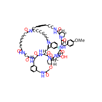 COc1ccc(C[C@@H]2NC(=O)[C@H]([C@@H](C)O)NC(=O)[C@@H]3[C@@H]4CCN3C(=O)[C@@H]3Cc5cn(c6ccc(F)cc56)CCCCCCN(Cc5ccc(cc5)CCNC(=O)[C@]5(C)CCCN5C2=O)C(=O)CCCCCC(=O)NCC(=O)N[C@@H](Cc2cccc(c2)CNC(=O)CO4)C(=O)N3)cc1